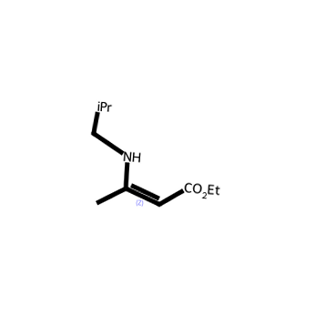 CCOC(=O)/C=C(/C)NCC(C)C